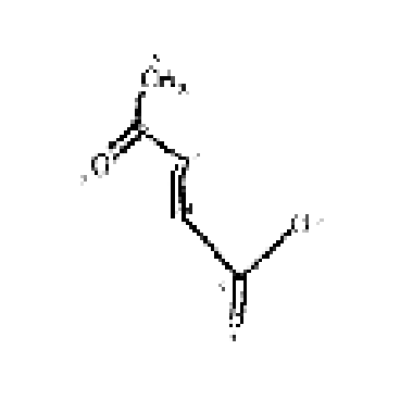 CC(=O)/C=C/C(=O)Cl